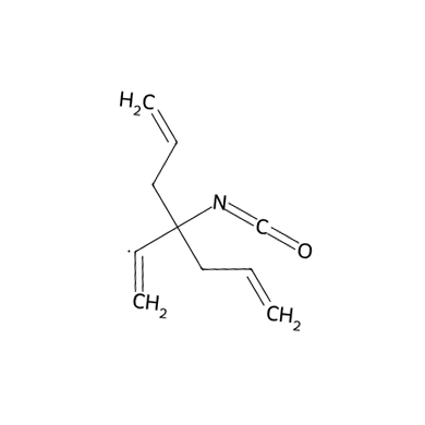 C=[C]C(CC=C)(CC=C)N=C=O